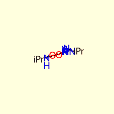 CC(C)CNCCOCCOCCn1cc(CNC(C)C)nn1